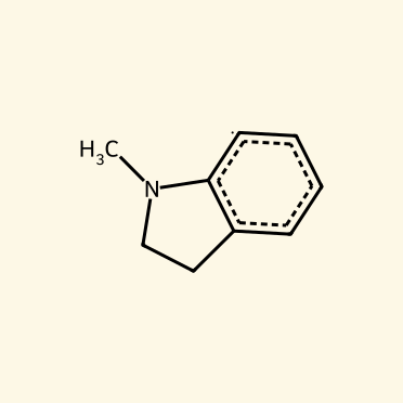 CN1CCc2ccc[c]c21